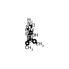 Cc1ccc(OP(=O)(OC[C@@]2(C(F)F)O[C@@H](n3cc(Cl)c(N)nc3=O)[C@@H](F)[C@@H]2O)Oc2ccc(C)cc2)cc1